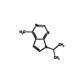 Cc1ncnc2c1ccn2C(C)C